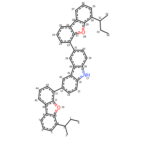 CCC(C)c1cccc2c1oc1c(-c3ccc4[nH]c5ccc(-c6cccc7c6oc6c(C(C)CC)cccc67)cc5c4c3)cccc12